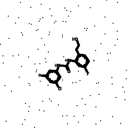 O=C(Nc1cc(F)cc(Cl)c1)Nc1cc(F)ccc1CCO